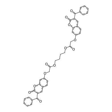 O=C(COc1ccc2cc(C(=O)c3ccccc3)c(=O)oc2c1)OCCCCOC(=O)COc1ccc2cc(C(=O)c3ccccc3)c(=O)oc2c1